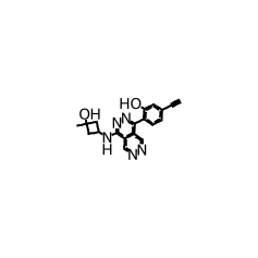 C#Cc1ccc(-c2nnc(NC3CC(C)(O)C3)c3cnncc23)c(O)c1